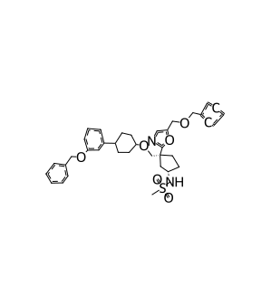 CS(=O)(=O)N[C@H]1CC[C@](COC2CCC(c3cccc(OCc4ccccc4)c3)CC2)(c2ncc(COCc3ccccc3)o2)C1